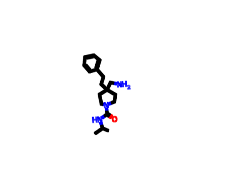 CC(C)NC(=O)N1CCC(CN)(CCc2ccccc2)CC1